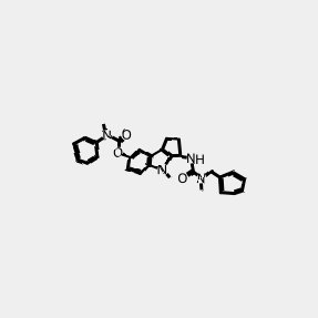 CN(Cc1ccccc1)C(=O)NC1CCC2c3cc(OC(=O)N(C)c4ccccc4)ccc3N(C)C12